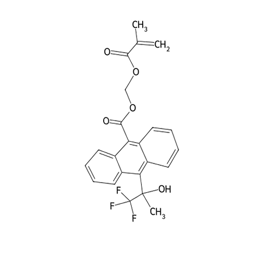 C=C(C)C(=O)OCOC(=O)c1c2ccccc2c(C(C)(O)C(F)(F)F)c2ccccc12